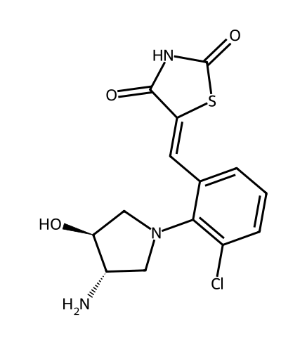 N[C@H]1CN(c2c(Cl)cccc2/C=C2\SC(=O)NC2=O)C[C@@H]1O